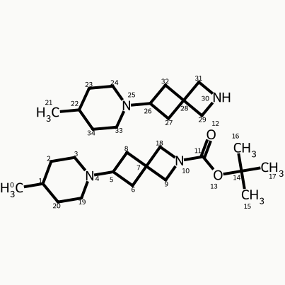 CC1CCN(C2CC3(C2)CN(C(=O)OC(C)(C)C)C3)CC1.CC1CCN(C2CC3(CNC3)C2)CC1